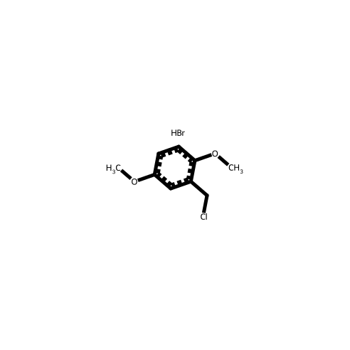 Br.COc1ccc(OC)c(CCl)c1